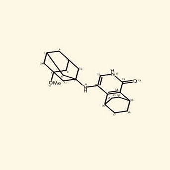 COC12CC3CC(CC(Nc4c[nH]c(=O)c5c4C4CCC5CC4)(C3)C1)C2